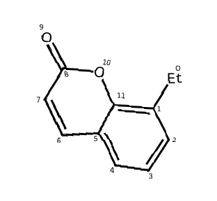 CCc1cccc2ccc(=O)oc12